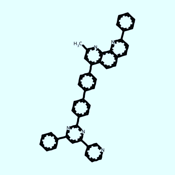 Cc1cc(-c2ccc(-c3ccc(-c4nc(-c5ccccc5)cc(-c5cccnc5)n4)cc3)cc2)c2ccc3ccc(-c4ccccc4)nc3c2n1